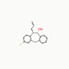 C=CC[C@@H]1c2ccc(F)cc2Cc2ccccc2[C@H]1O